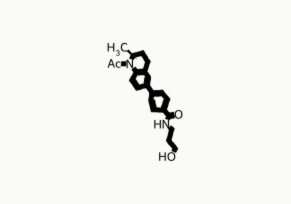 CC(=O)N1c2ccc(-c3ccc(C(=O)NCCCO)cc3)cc2CC[C@@H]1C